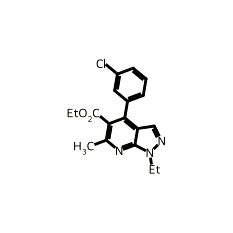 CCOC(=O)c1c(C)nc2c(cnn2CC)c1-c1cccc(Cl)c1